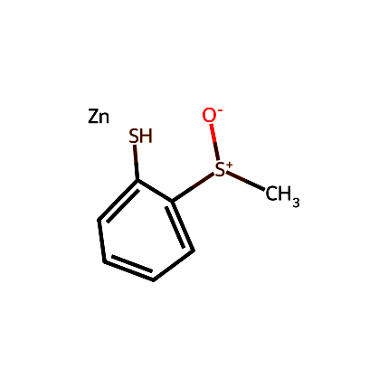 C[S+]([O-])c1ccccc1S.[Zn]